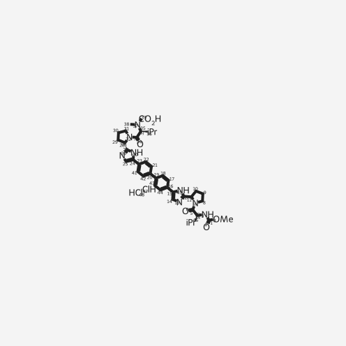 COC(=O)N[C@H](C(=O)N1CCCC1c1ncc(-c2ccc(-c3ccc(-c4cnc([C@@H]5CCCN5C(=O)[C@H](C(C)C)N(C)C(=O)O)[nH]4)cc3)cc2)[nH]1)C(C)C.Cl.Cl